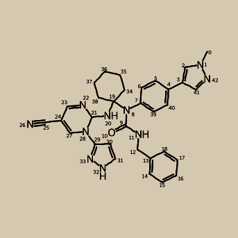 Cn1cc(-c2ccc(N(C(=O)NCc3ccccc3)C3(NC4N=CC(C#N)=CN4c4cc[nH]n4)CCCCC3)cc2)cn1